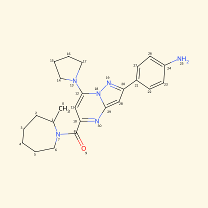 CC1CCCCCN1C(=O)c1cc(N2CCCC2)n2nc(-c3ccc(N)cc3)cc2n1